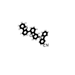 N#Cc1ccc2c(c1)c1ccccc1n2-c1ccc2oc3c(-c4cccc5c4sc4ccccc45)cccc3c2c1